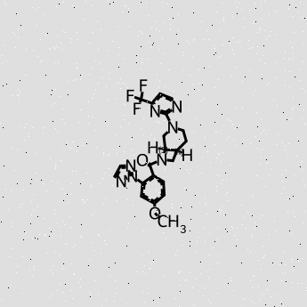 COc1ccc(C(=O)N2C[C@H]3CCN(c4nccc(C(F)(F)F)n4)C[C@H]32)c(-n2nccn2)c1